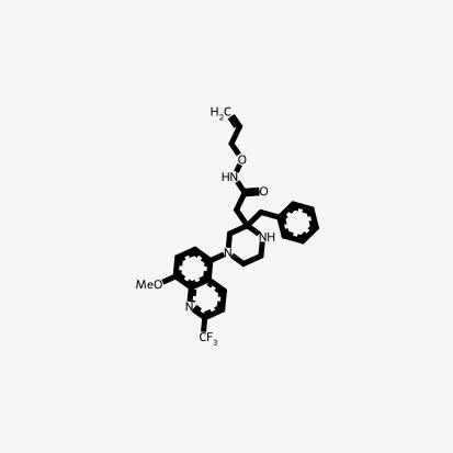 C=CCONC(=O)CC1(Cc2ccccc2)CN(c2ccc(OC)c3nc(C(F)(F)F)ccc23)CCN1